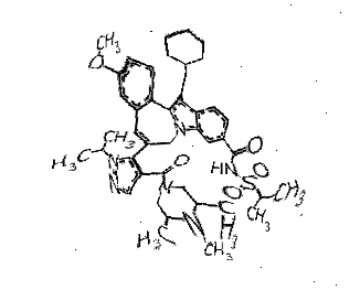 COc1ccc2c(c1)C=C(c1c(C(=O)N3CC(C)N(C)C(C)C3)cnn1C(C)C)Cn1c-2c(C2CCCCC2)c2ccc(C(=O)NS(=O)(=O)C(C)C)cc21